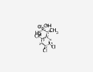 CC(c1cc(Cl)c(Cl)cc1Cl)P(=O)(O)S